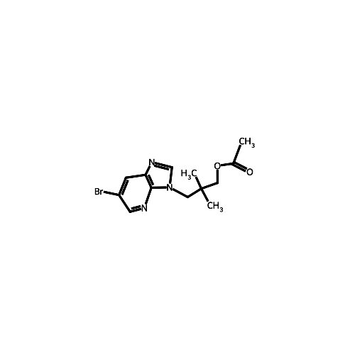 CC(=O)OCC(C)(C)Cn1cnc2cc(Br)cnc21